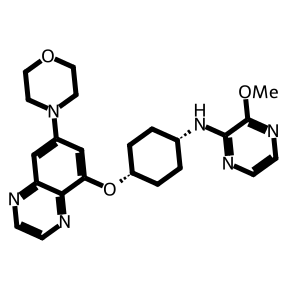 COc1nccnc1N[C@H]1CC[C@@H](Oc2cc(N3CCOCC3)cc3nccnc23)CC1